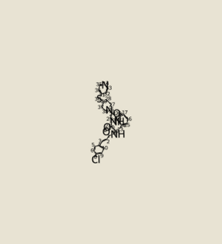 O=C(/C=C/c1ccc(Cl)cc1)N[C@@H](Cc1ccccn1)C(=O)NCC(=O)N1CCC(Sc2ccncc2)CC1